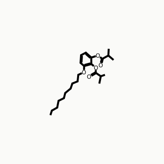 CCCCCCCCCCOc1cccc(OC(=O)C(C)C)c1OC(=O)C(C)C